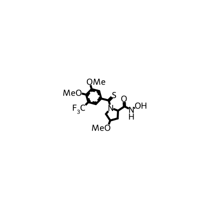 COc1cc(C(=S)N2CC(OC)CC2C(=O)NO)cc(C(F)(F)F)c1OC